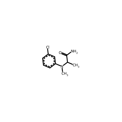 CC(C(N)=O)N(C)c1cccc(Cl)c1